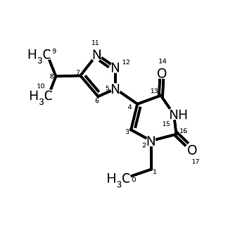 CCn1cc(-n2cc(C(C)C)nn2)c(=O)[nH]c1=O